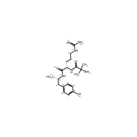 CC(C)(N)C(=O)N[C@@H](CCCNC(=N)N)C(=O)N[C@H](Cc1ccc(O)cc1)C(=O)O